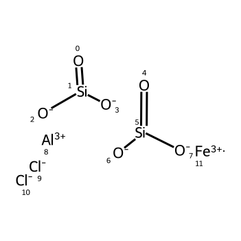 O=[Si]([O-])[O-].O=[Si]([O-])[O-].[Al+3].[Cl-].[Cl-].[Fe+3]